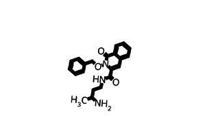 CC(N)CCNC(=O)c1cc2ccccc2c(=O)n1OCc1ccccc1